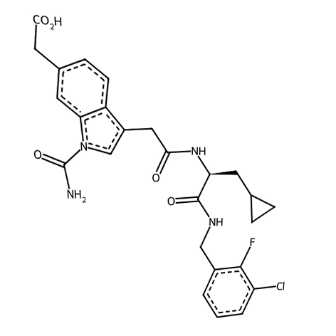 NC(=O)n1cc(CC(=O)N[C@@H](CC2CC2)C(=O)NCc2cccc(Cl)c2F)c2ccc(CC(=O)O)cc21